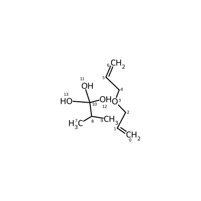 C=CCOCC=C.CC(C)C(O)(O)O